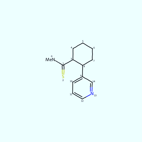 CNC(=S)C1CCCCC1c1cccnc1